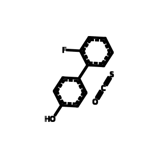 O=C=S.Oc1ccc(-c2ccccc2F)cc1